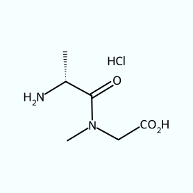 C[C@@H](N)C(=O)N(C)CC(=O)O.Cl